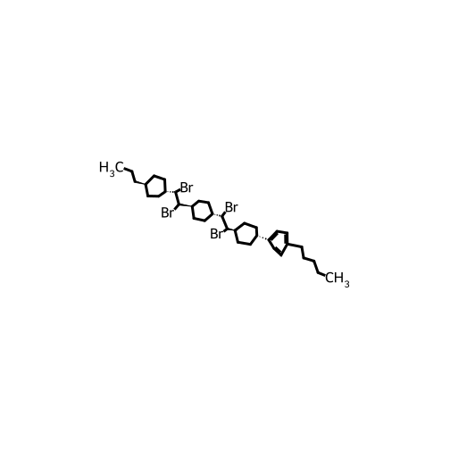 CCCCCc1ccc([C@H]2CC[C@H](C(Br)C(Br)[C@H]3CC[C@H](C(Br)C(Br)[C@H]4CC[C@H](CCC)CC4)CC3)CC2)cc1